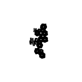 Cn1c2ccccc2c2cccc(N(c3ccccc3)c3cc4c(c5ccccc35)-c3ccc(-c5cccc6c5oc5ccccc56)cc3C4(C)C)c21